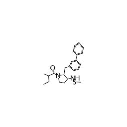 CCC(C)C(=O)N1CCC(NSC)C1Cc1cccc(-c2ccccc2)c1